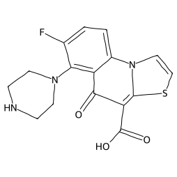 O=C(O)c1c(=O)c2c(N3CCNCC3)c(F)ccc2n2ccsc12